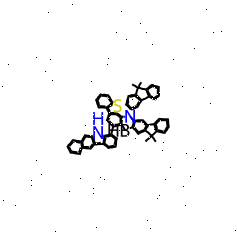 CC1(C)c2ccccc2-c2cc(N3c4cc5c(cc4Bc4c(-c6cccc7c6[nH]c6cc8ccccc8cc67)cc6c(sc7ccccc76)c43)C(C)(C)c3ccccc3-5)ccc21